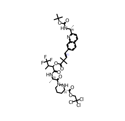 CC(C(OC(=O)C(C)(C)/C=C/c1ccc2ccc([C@@H](C)NC(=O)OC(C)(C)C)nc2c1)C(=O)N[C@@H](C)C(=O)N1CCC[C@@H](C(=O)OCC(Cl)(Cl)Cl)N1)C(F)(F)F